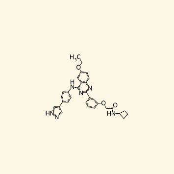 CCOc1ccc2nc(-c3cccc(OCC(=O)NC4CCC4)c3)nc(Nc3ccc(-c4cn[nH]c4)cc3)c2c1